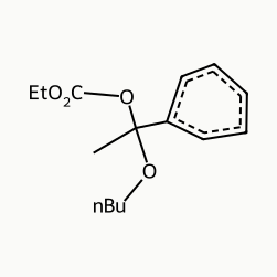 CCCCOC(C)(OC(=O)OCC)c1ccccc1